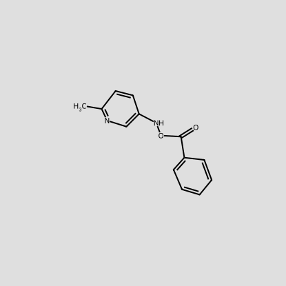 Cc1ccc(NOC(=O)c2ccccc2)cn1